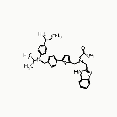 CCC(CC)c1ccc(N(Cc2ccc(-c3ccc(CN(CC(=O)O)Cc4nc5ccccc5[nH]4)s3)cc2)C(C)C)cc1